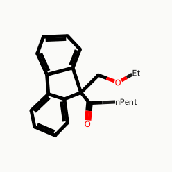 CCCCCC(=O)C1(COCC)c2ccccc2-c2ccccc21